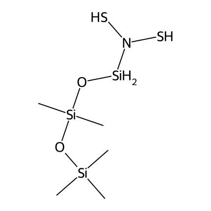 C[Si](C)(C)O[Si](C)(C)O[SiH2]N(S)S